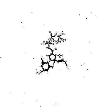 Cc1cc(N)nc(=O)n1[C@@H]1OC([C@@H](C)OP(=O)(O)OP(=O)(O)OP(=O)(O)O)[C@H](O)C1(F)C#CCF